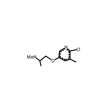 CNC(C)COc1cnc(Cl)c(C)c1